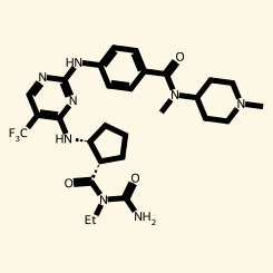 CCN(C(N)=O)C(=O)[C@H]1CCC[C@H]1Nc1nc(Nc2ccc(C(=O)N(C)C3CCN(C)CC3)cc2)ncc1C(F)(F)F